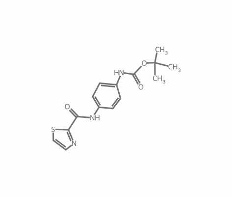 CC(C)(C)OC(=O)Nc1ccc(NC(=O)c2nccs2)cc1